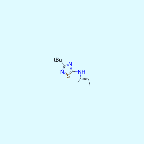 C/C=C(\C)Nc1nc(C(C)(C)C)ns1